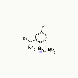 CCC(N)c1cc(C(C)C)ccc1/N=C\N